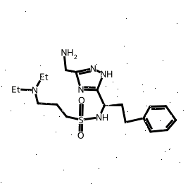 CCN(CC)CCCS(=O)(=O)N[C@H](CCc1ccccc1)c1nc(CN)n[nH]1